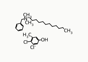 CCCCCCCCCCCC[N+](C)(C)Cc1ccccc1.Cc1cc(O)ccc1Cl.[Cl-]